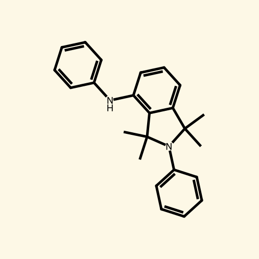 CC1(C)c2cccc(Nc3ccccc3)c2C(C)(C)N1c1ccccc1